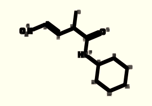 CC(C=C[N+](=O)[O-])C(=O)NC1CCCCC1